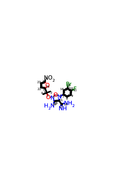 CC(C)(ON1ON(c2ccc(F)c(Br)c2)C(C(=N)N)=C1N)c1ccc([N+](=O)[O-])o1